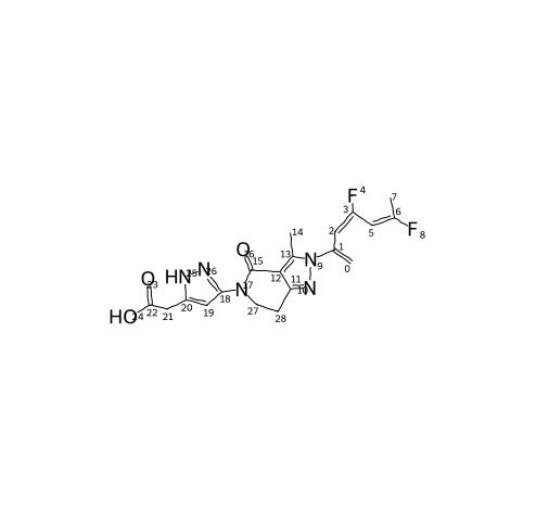 C=C(/C=C(F)\C=C(/C)F)n1nc2c(c1C)C(=O)N(c1cc(CC(=O)O)[nH]n1)CC2